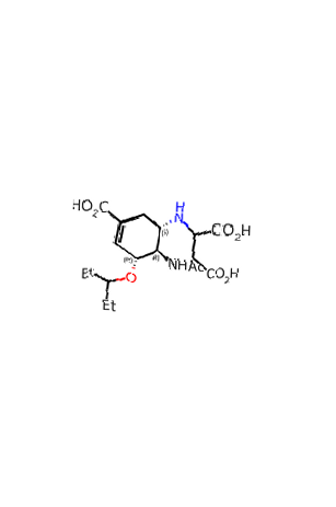 CCC(CC)O[C@@H]1C=C(C(=O)O)C[C@H](NC(CC(=O)O)C(=O)O)[C@H]1NC(C)=O